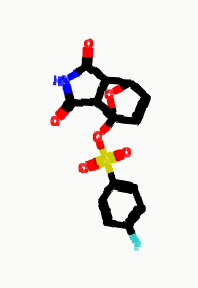 O=C1NC(=O)C2C1C1C=CC2(OS(=O)(=O)c2ccc(F)cc2)O1